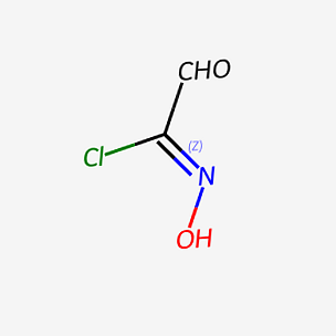 O=C/C(Cl)=N/O